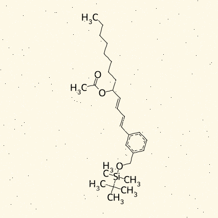 CCCCCCCCC(/C=C/C=C/c1cccc(CO[Si](C)(C)C(C)(C)C)c1)OC(C)=O